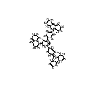 C1=CC2c3ccccc3N(c3ccc(-c4nc(-c5ccc(-n6c7ccccc7c7ccccc76)cc5)cc(-c5cccc6ccccc56)n4)cc3)C2C=C1